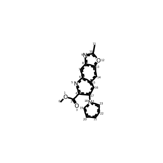 COC(=O)c1nc2cc3nc(C)oc3cc2cc1-[n+]1ccccc1